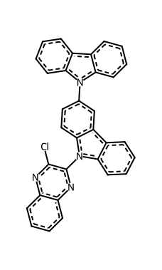 Clc1nc2ccccc2nc1-n1c2ccccc2c2cc(-n3c4ccccc4c4ccccc43)ccc21